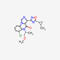 COCC(C)n1c(=O)c2c(-c3noc(C4CC4C)n3)ncn2c2cccc(Cl)c21